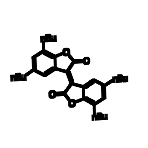 CCCCc1cc(CCCC)c2c(c1)/C(=C1\C(=O)Oc3c(CCCC)cc(CCCC)cc31)C(=O)O2